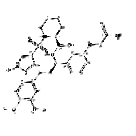 COc1ccc(CC[C@@H](OC(=O)[C@@H]2CCCCN2S(=O)(=O)c2cn(C)cn2)c2cccc(OCC(=O)O)c2)cc1OC